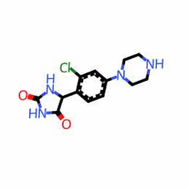 O=C1NC(=O)C(c2ccc(N3CCNCC3)cc2Cl)N1